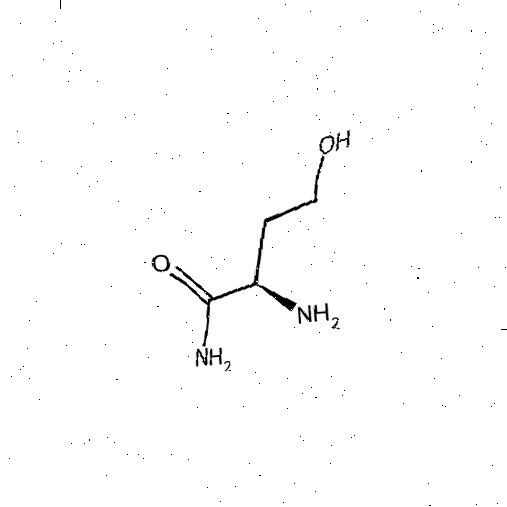 NC(=O)[C@H](N)CCO